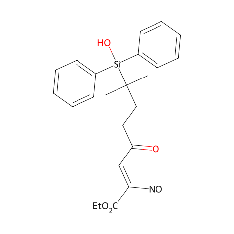 CCOC(=O)C(=CC(=O)CCC(C)(C)[Si](O)(c1ccccc1)c1ccccc1)N=O